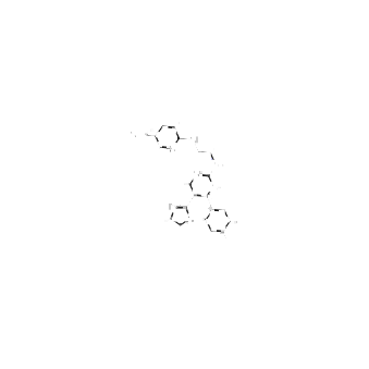 CCc1ccc(-c2nc(/N=C\CNc3ccc(C#N)cn3)ncc2-c2ncc[nH]2)cc1